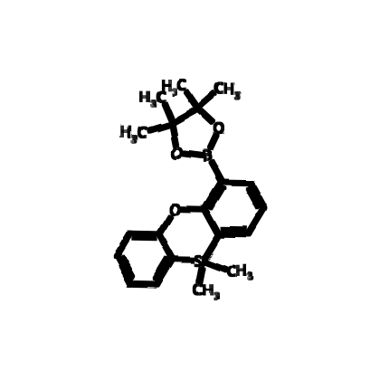 CC1(C)OB(c2cccc3c2Oc2ccccc2[Si]3(C)C)OC1(C)C